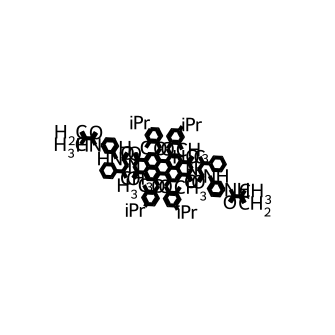 C=C(C)C(=O)Nc1cccc(NC(=O)C(C(C)C2CCCCC2)N2C(=O)c3cc(Oc4ccc(C(C)C)cc4C)c4c5c(Oc6ccc(C(C)C)cc6C)cc6c7c(cc(Oc8ccc(C(C)C)cc8C)c(c8c(Oc9ccc(C(C)C)cc9C)cc(c3c48)C2=O)c75)C(=O)N(C(C(=O)Nc2cccc(NC(=O)C(=C)C)c2)C(C)C2CCCCC2)C6=O)c1